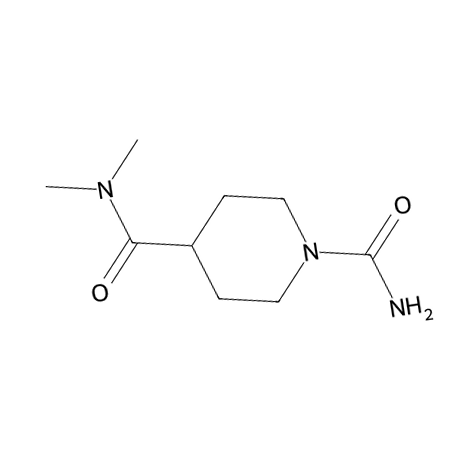 CN(C)C(=O)C1CCN(C(N)=O)CC1